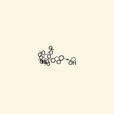 CC(=O)OC[C@H]1O[C@@](O)(c2ccc(Cl)c(Cc3ccc(C#CC4(O)CCCC4)cc3)c2)[C@H](OC(C)=O)[C@@H](OC(C)=O)[C@@H]1OC(C)=O